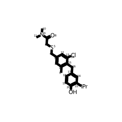 Cc1cc(CSCC(=O)N(C)C)cc(Cl)c1Cc1ccc(O)c(C(C)C)c1